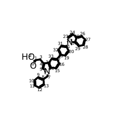 O=C(O)Cc1cn(Cc2ccccc2)c2ccc(-c3ccc(-n4ccc5ccccc54)cc3)cc12